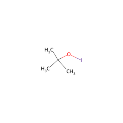 CC(C)(C)OI